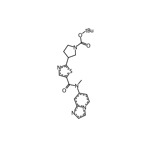 CN(C(=O)c1cnc(C2CCN(C(=O)OC(C)(C)C)C2)s1)c1ccn2ccnc2c1